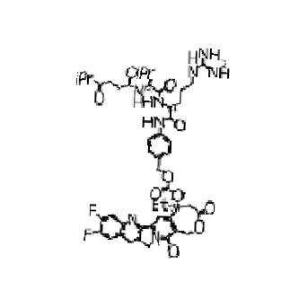 CC[C@@]1(OC(=O)OCc2ccc(NC(=O)[C@H](CCCNC(=N)N)NC(=O)[C@@H](NC(=O)CCC(=O)C(C)C)C(C)C)cc2)CC(=O)OCc2c1cc1n(c2=O)Cc2cc3cc(F)c(F)cc3nc2-1